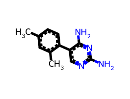 Cc1ccc(-c2cnc(N)nc2N)c(C)c1